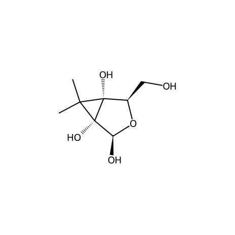 CC1(C)[C@]2(O)[C@H](O)O[C@H](CO)[C@]12O